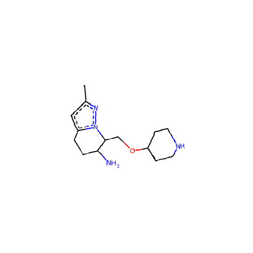 Cc1cc2n(n1)C(COC1CCNCC1)C(N)CC2